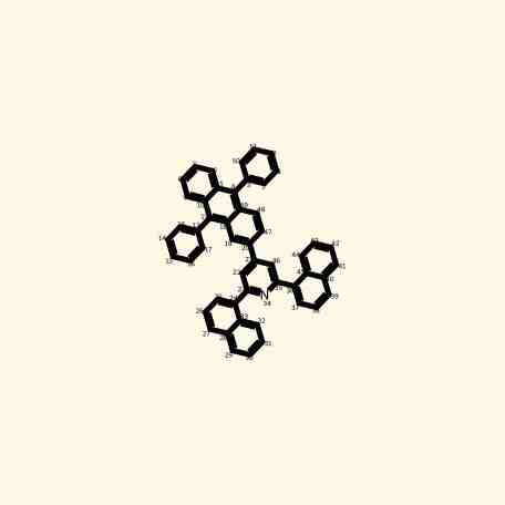 c1ccc(-c2c3ccccc3c(-c3ccccc3)c3cc(-c4cc(-c5cccc6ccccc56)nc(-c5cccc6ccccc56)c4)ccc23)cc1